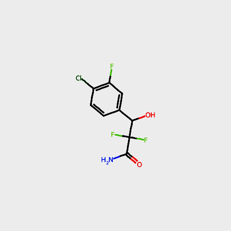 NC(=O)C(F)(F)C(O)c1ccc(Cl)c(F)c1